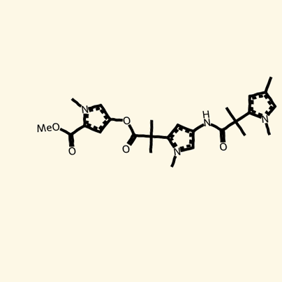 COC(=O)c1cc(OC(=O)C(C)(C)c2cc(NC(=O)C(C)(C)c3cc(C)cn3C)cn2C)cn1C